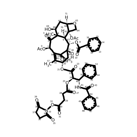 CC(=O)O[C@H]1C(=O)[C@@]2(C)[C@H]([C@H](OC(=O)c3ccccc3)[C@]3(O)C[C@H](OC(=O)[C@H](OC(=O)CCC(=O)ON4C(=O)CCC4=O)[C@@H](NC(=O)c4ccccc4)c4ccccc4)C(C)=C1C3(C)C)[C@]1(OC(C)=O)CO[C@@H]1C[C@@H]2O